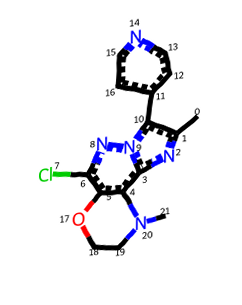 Cc1nc2c3c(c(Cl)nn2c1-c1ccncc1)OCCN3C